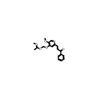 COc1cnc(C=CC(=O)c2ccccc2)cc1OCOC(C)OC